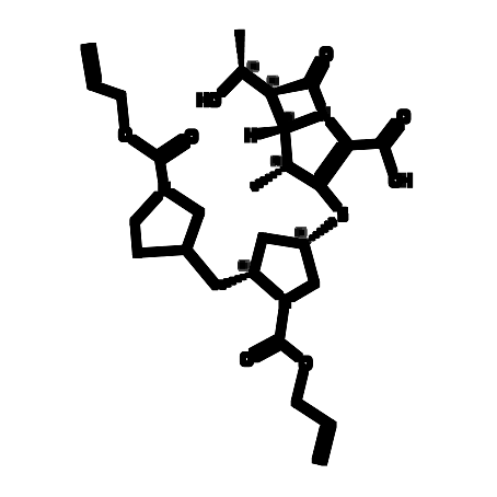 C=CCOC(=O)N1CCC(C[C@@H]2C[C@H](SC3=C(C(=O)O)N4C(=O)[C@H]([C@@H](C)O)[C@H]4[C@H]3C)CN2C(=O)OCC=C)C1